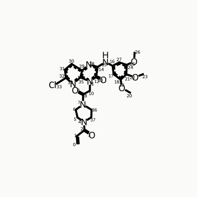 C=CC(=O)N1CCN(C(=O)Cn2c(=O)c(Nc3cc(OC)c(OC)c(OC)c3)nc3ccc(Cl)nc32)CC1